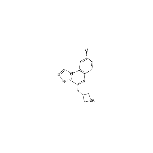 Clc1ccc2nc(OC3CNC3)c3nncn3c2c1